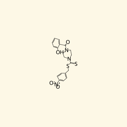 O=C(c1ccccc1O)N1CCN(C(=S)SCc2ccc([N+](=O)[O-])cc2)CC1